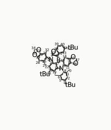 Cc1cc(C(C)(C)C)cc(C)c1N1c2cc3c(cc2B2c4c1cc(C(C)(C)C)cc4N(c1c(C)cc4c(c1C)OCO4)c1oc4ccc(C(C)(C)C)cc4c12)OCO3